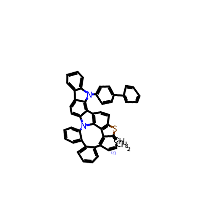 C=c1sc2ccc3c4c5c(ccc4n4c6ccccc6c6ccccc6c(/C=C\C)c1c2c34)c1ccccc1n5-c1ccc(-c2ccccc2)cc1